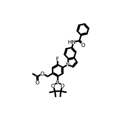 CC(=O)OCc1cc(F)c(-n2ccc3cc(NC(=O)c4ccccc4)ccc32)cc1B1OC(C)(C)C(C)(C)O1